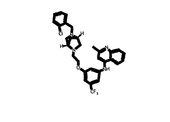 Cc1cc(Nc2cc(OCCN3C[C@@H]4C[C@H]3CN4Cc3ccccc3Cl)cc(C(F)(F)F)c2)c2ccccc2n1